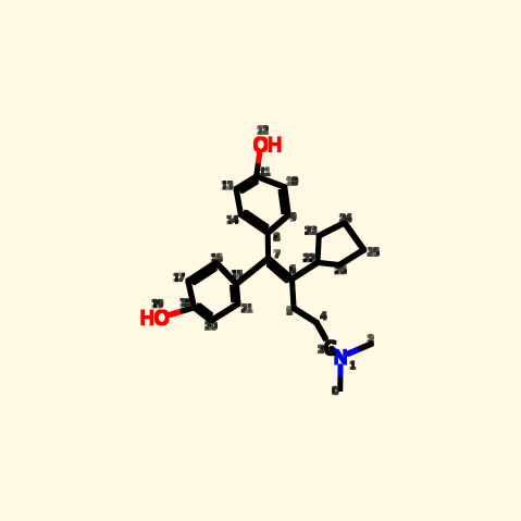 CN(C)CCCC(=C(c1ccc(O)cc1)c1ccc(O)cc1)C1CCCC1